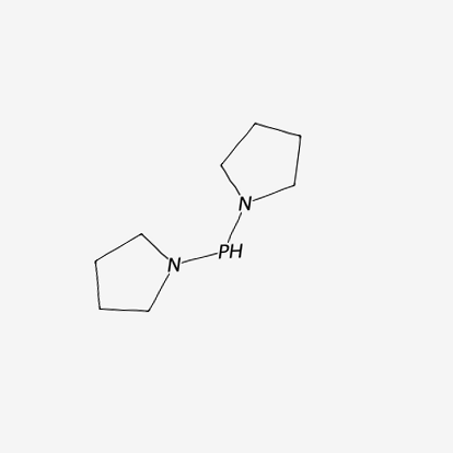 C1CCN(PN2CCCC2)C1